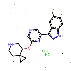 Brc1ccc2[nH]nc(-c3cncc(O[C@H]4CNCCC45CC5)n3)c2c1.Cl.Cl